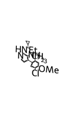 CCC(Nc1nccc(-c2cc(Cl)c(OC)cc2C)c1N)C1CC1